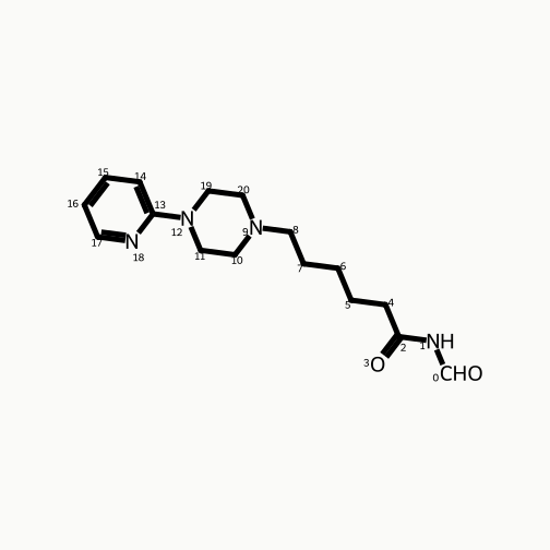 O=CNC(=O)CCCCCN1CCN(c2ccccn2)CC1